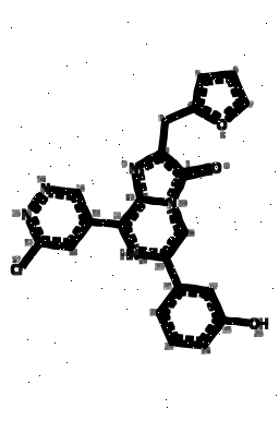 O=c1c(Cc2ccco2)nc2c(-c3cnnc(Cl)c3)[nH]c(-c3cccc(O)c3)cn1-2